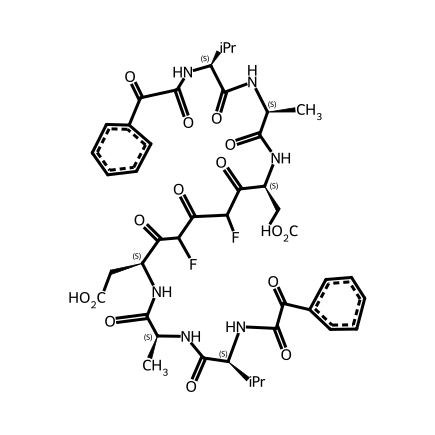 CC(C)[C@H](NC(=O)C(=O)c1ccccc1)C(=O)N[C@@H](C)C(=O)N[C@@H](CC(=O)O)C(=O)C(F)C(=O)C(F)C(=O)[C@H](CC(=O)O)NC(=O)[C@H](C)NC(=O)[C@@H](NC(=O)C(=O)c1ccccc1)C(C)C